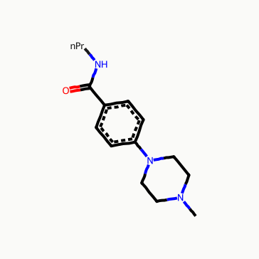 CCCNC(=O)c1ccc(N2CCN(C)CC2)cc1